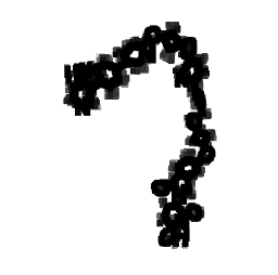 O=C1CCC(N2Cc3cc(OC4CC(OCC#Cc5ccc(OC6CC(Oc7ccc(-c8ccc9c(c8)[nH]c8ccncc89)cn7)C6)cn5)C4)ccc3C2=O)C(=O)N1